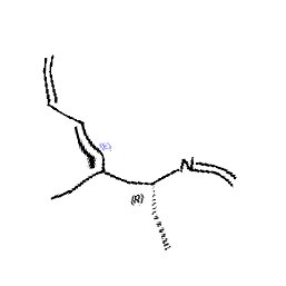 C=C/C=C(\C)[C@@H](C)N=C